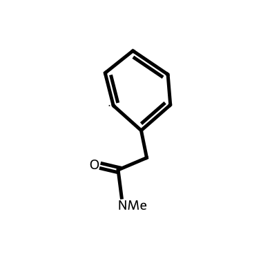 CNC(=O)Cc1[c]cccc1